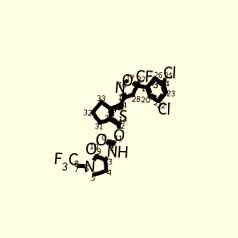 O=C(NC1CCN(CC(F)(F)F)C1=O)Oc1sc(C2=NOC(c3cc(Cl)cc(Cl)c3)(C(F)(F)F)C2)c2c1CCC2